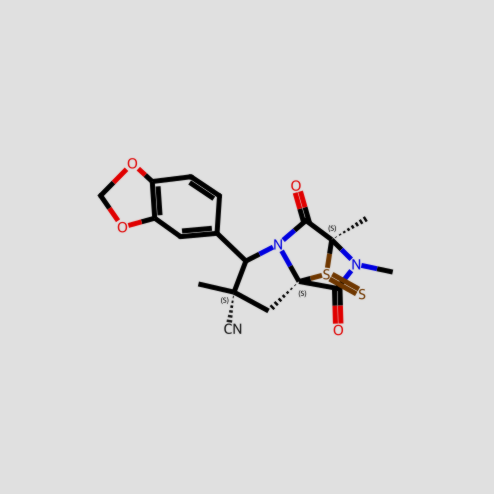 CN1C(=O)[C@@]23C[C@](C)(C#N)C(c4ccc5c(c4)OCO5)N2C(=O)[C@]1(C)S3=S